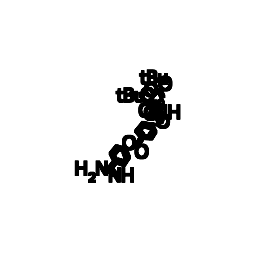 CC(C)(C)OC(=O)C[C@H](NS(=O)(=O)c1ccc(C(=O)Oc2ccc(C(=N)N)cc2)cc1)C(=O)OC(C)(C)C